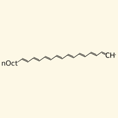 [CH]=CC=CC=CC=CC=CC=CC=CC=CCCCCCCCC